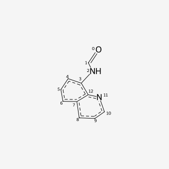 O=CNc1cccc2cccnc12